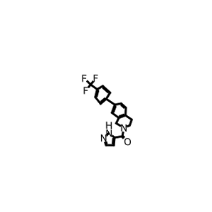 O=C(c1ccn[nH]1)N1CCc2ccc(-c3ccc(C(F)(F)F)cc3)cc2C1